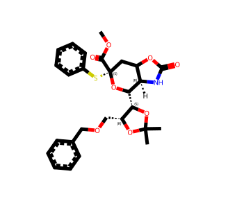 COC(=O)[C@@]1(Sc2ccccc2)CC2OC(=O)N[C@H]2C([C@@H]2OC(C)(C)O[C@@H]2COCc2ccccc2)O1